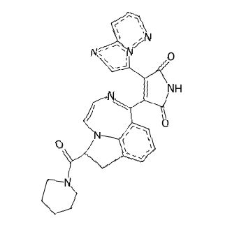 O=C1NC(=O)C(c2cnc3cccnn23)=C1C1=NC=CN2c3c(cccc31)CC2C(=O)N1CCCCC1